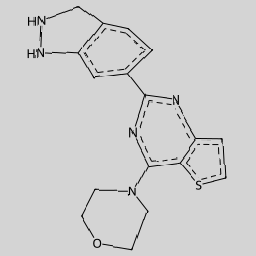 c1cc2nc(-c3ccc4c(c3)NNC4)nc(N3CCOCC3)c2s1